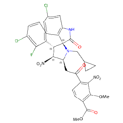 COC(=O)c1ccc(C(=O)C[C@H]2[C@@H]([N+](=O)[O-])[C@H](c3cccc(Cl)c3F)[C@]3(C(=O)Nc4cc(Cl)ccc43)N2CC2CC2)c([N+](=O)[O-])c1OC